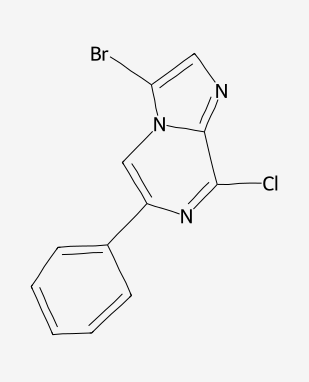 Clc1nc(-c2ccccc2)cn2c(Br)cnc12